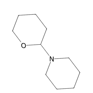 C1CCN(C2CCCCO2)CC1